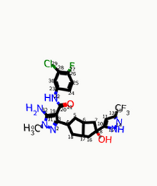 Cn1nc(C2CC3CC(O)(c4cc(C(F)(F)F)n[nH]4)CC3C2)c(C(=O)Nc2ccc(F)c(Cl)c2)c1N